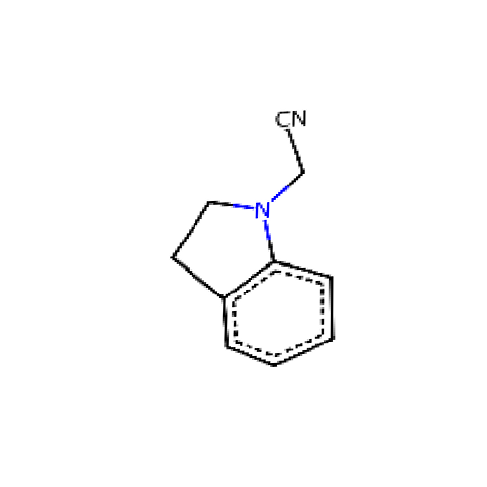 N#CCN1CCc2ccccc21